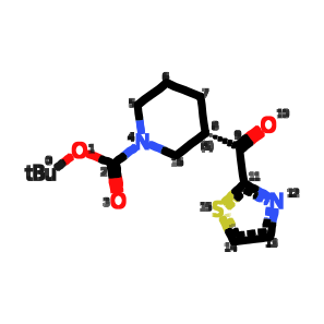 CC(C)(C)OC(=O)N1CCC[C@H](C(=O)c2nccs2)C1